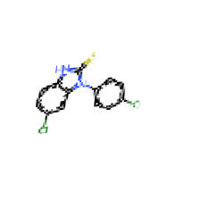 S=c1[nH]c2ccc(Cl)cc2n1-c1ccc(Cl)cc1